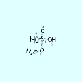 B.O=S(=O)(O)O